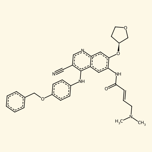 CN(C)C/C=C/C(=O)Nc1cc2c(Nc3ccc(OCc4ccccc4)cc3)c(C#N)cnc2cc1O[C@H]1CCOC1